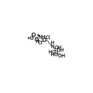 OC[C@@H](O)[C@@H](O)[C@H](O)[C@@H](O)CNCCCCc1cc(Cl)c(CNC2(c3cnccc3-c3ccccc3OC3CC3)CC2)cc1Cl